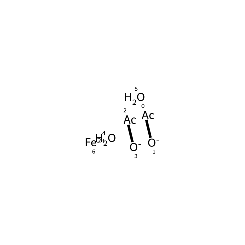 CC(=O)[O-].CC(=O)[O-].O.O.[Fe+2]